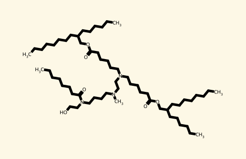 CCCCCCCCC(CCCCCC)COC(=O)CCCCCN(CCCCCC(=O)OCC(CCCCCC)CCCCCCCC)CCN(C)CCCCN(CCO)C(=O)CCCCCCC